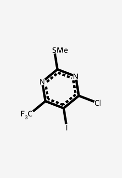 CSc1nc(Cl)c(I)c(C(F)(F)F)n1